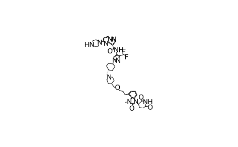 Cn1c(=O)n(C2CCC(=O)NC2=O)c2cccc(CCCOCC3CCN(C[C@H]4CC[C@H](n5cc(NC(=O)c6cnn7ccc(N8CCNCC8)nc67)c(C(F)F)n5)CC4)CC3)c21